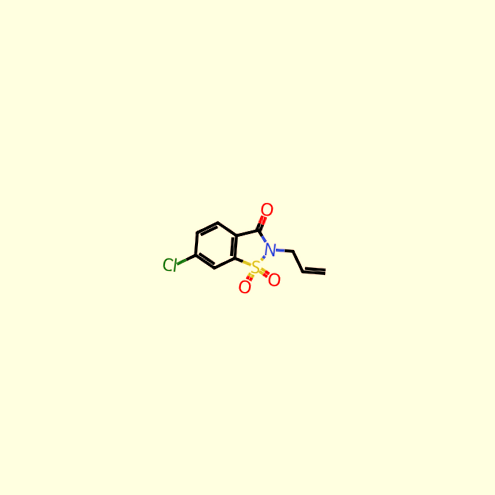 C=CCN1C(=O)c2ccc(Cl)cc2S1(=O)=O